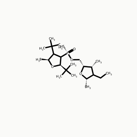 B[C@@H]1O[C@H](CO[P@@](=O)(S)C2C(C(C)(C)C)[C@H](B)O[C@@H]2C(C)(C)C)[C@H](C)C1CC